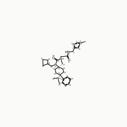 Cn1cnc(CNC(=O)CN2C[C@]3(CC[C@@](c4ccccc4)(N(C)C)CC3)N(CC3CCC3)C2=O)c1